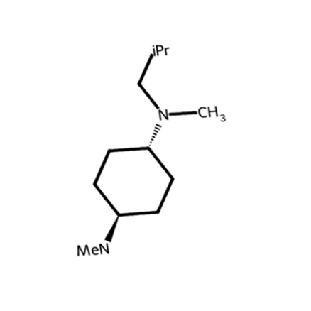 CN[C@H]1CC[C@H](N(C)CC(C)C)CC1